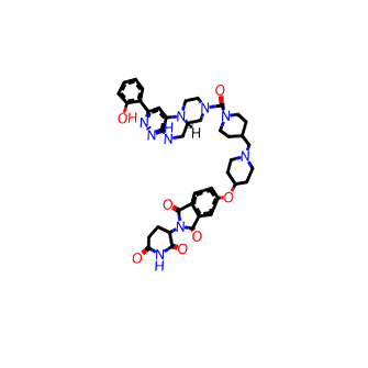 O=C1CCC(N2C(=O)c3ccc(OC4CCN(CC5CCN(C(=O)N6CCN7c8cc(-c9ccccc9O)nnc8NC[C@H]7C6)CC5)CC4)cc3C2=O)C(=O)N1